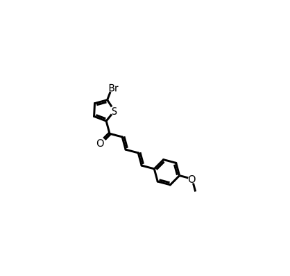 COc1ccc(/C=C/C=C/C(=O)c2ccc(Br)s2)cc1